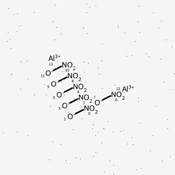 O=[N+]([O-])[O-].O=[N+]([O-])[O-].O=[N+]([O-])[O-].O=[N+]([O-])[O-].O=[N+]([O-])[O-].O=[N+]([O-])[O-].[Al+3].[Al+3]